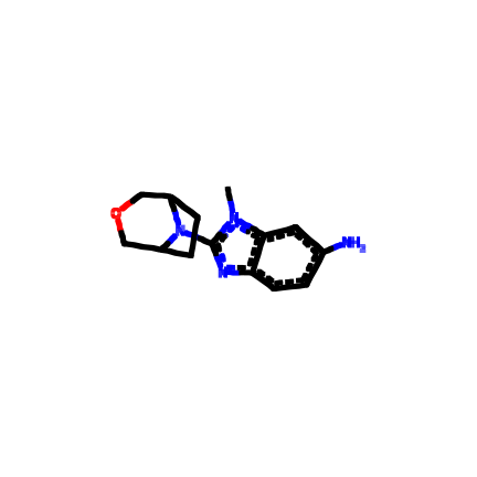 Cn1c(N2C3CCC2COC3)nc2ccc(N)cc21